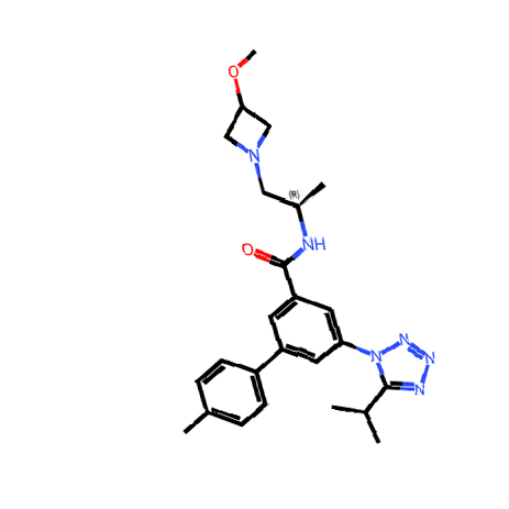 COC1CN(C[C@@H](C)NC(=O)c2cc(-c3ccc(C)cc3)cc(-n3nnnc3C(C)C)c2)C1